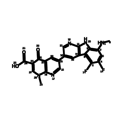 CNc1cc(F)c(F)c2c1[nH]c1ncc(-c3cnc4c(c3)c(=O)c(C(=O)O)cn4C)cc12